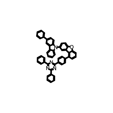 c1ccc(-c2ccc3c(c2)c2ccccc2n3-c2ccc3oc4cccc(-c5ccc(-c6nc(-c7ccccc7)nc(-c7ccccc7)n6)cc5)c4c3c2)cc1